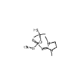 CN1CCN(C)C1=NP(=O)(OC(C)(C)C)OC(C)(C)S